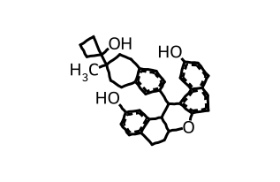 CC1(C2(O)CCC2)CCc2ccc(C3c4c(ccc5ccc(O)cc45)OC4CCc5ccc(O)cc5C43)cc2CC1